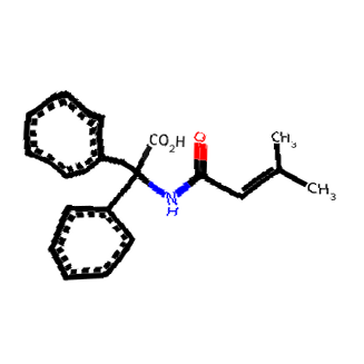 CC(C)=CC(=O)NC(C(=O)O)(c1ccccc1)c1ccccc1